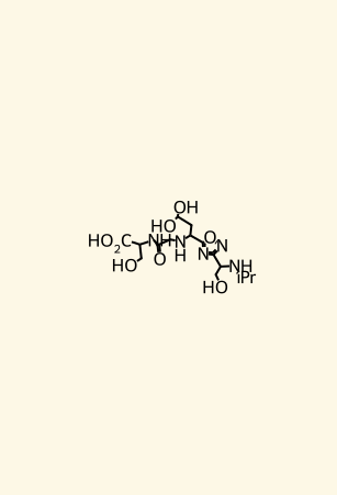 CC(C)NC(CO)c1noc(C(CC(O)O)NCC(=O)NC(CO)C(=O)O)n1